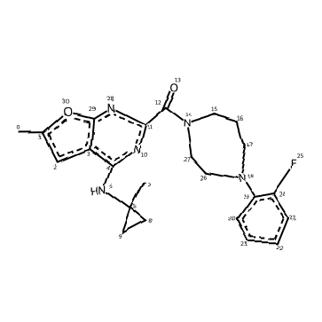 Cc1cc2c(NC3(C)CC3)nc(C(=O)N3CCCN(c4ccccc4F)CC3)nc2o1